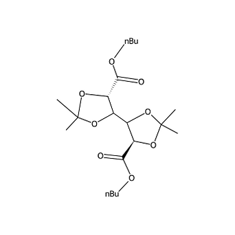 CCCCOC(=O)[C@H]1OC(C)(C)OC1C1OC(C)(C)O[C@H]1C(=O)OCCCC